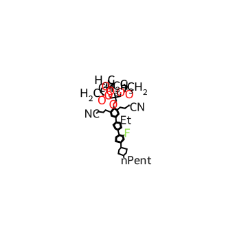 C=C(C)C(=O)OCC(COC(=O)C(=C)C)(COC(=O)C(=C)C)COc1c(CCCC#N)cc(-c2ccc(-c3ccc(C4CCC(CCCCC)CC4)cc3F)cc2CC)cc1CCCC#N